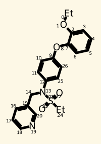 CCOc1ccccc1Oc1ccc(N(Cc2cccnc2)S(=O)(=O)CC)cc1